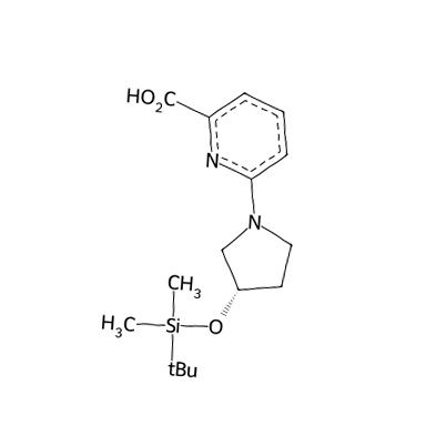 CC(C)(C)[Si](C)(C)O[C@H]1CCN(c2cccc(C(=O)O)n2)C1